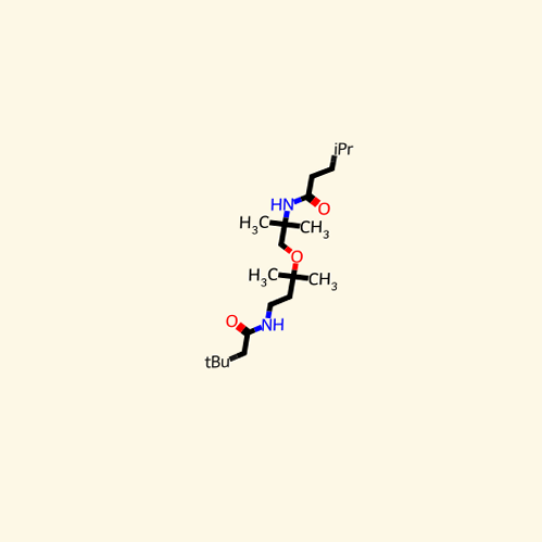 CC(C)CCC(=O)NC(C)(C)COC(C)(C)CCNC(=O)CC(C)(C)C